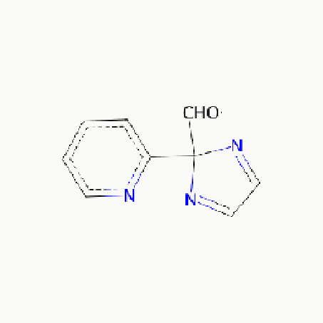 O=[C]C1(c2ccccn2)N=CC=N1